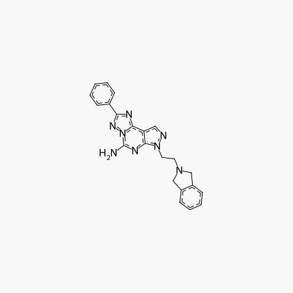 Nc1nc2c(cnn2CCN2Cc3ccccc3C2)c2nc(-c3ccccc3)nn12